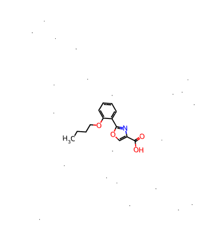 CCCCOc1ccccc1-c1nc(C(=O)O)co1